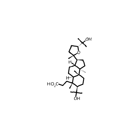 CC(C)(O)[C@H]1CC[C@@](C)([C@H]2CC[C@]3(C)[C@@H]2CC[C@@H]2[C@@](C)(CCC(=O)O)[C@H](C(C)(C)O)CC[C@]23C)O1